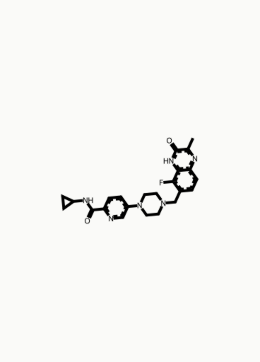 Cc1nc2ccc(CN3CCN(c4ccc(C(=O)NC5CC5)nc4)CC3)c(F)c2[nH]c1=O